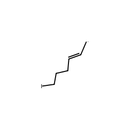 [CH2]C=CCCCI